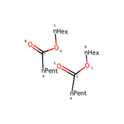 CCCCCCOC(=O)CCCCC.CCCCCCOC(=O)CCCCC